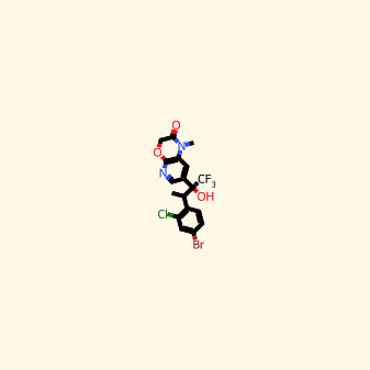 CC(c1ccc(Br)cc1Cl)C(O)(c1cnc2c(c1)N(C)C(=O)CO2)C(F)(F)F